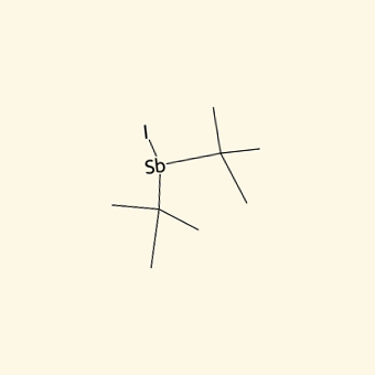 C[C](C)(C)[Sb]([I])[C](C)(C)C